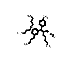 CCCCCC(C=C=[N+]=[N-])=C(c1ccc(C)cc1)c1cccc(CCCC)c1.CCC[CH2][Ni][CH2]CCC